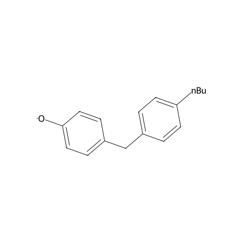 CCCCc1ccc(Cc2ccc([O])cc2)cc1